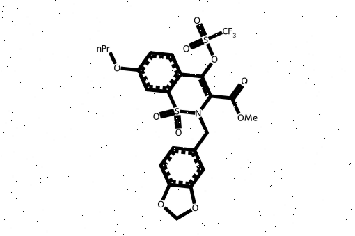 CCCOc1ccc2c(c1)S(=O)(=O)N(Cc1ccc3c(c1)OCO3)C(C(=O)OC)=C2OS(=O)(=O)C(F)(F)F